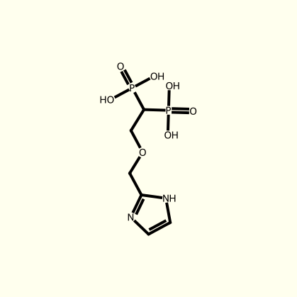 O=P(O)(O)C(COCc1ncc[nH]1)P(=O)(O)O